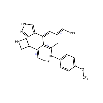 CCC\C=C(C(/C(=C\C=C\CCC)c1cn[nH]c1)=C(/C)Nc1ccc(OC(F)(F)F)cc1)\C1CNC1